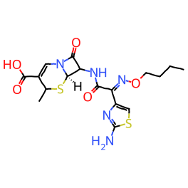 CCCCON=C(C(=O)NC1C(=O)N2C=C(C(=O)O)C(C)S[C@H]12)c1csc(N)n1